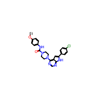 CCOc1ccc(NC(=O)N2CCN(c3ncnc4[nH]c(-c5ccc(Cl)cc5)cc34)CC2)cc1